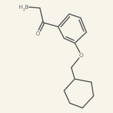 BCC(=O)c1cccc(OCC2CCCCC2)c1